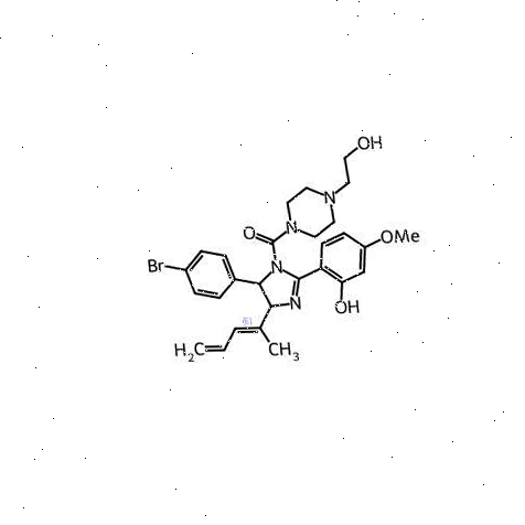 C=C/C=C(\C)C1N=C(c2ccc(OC)cc2O)N(C(=O)N2CCN(CCO)CC2)C1c1ccc(Br)cc1